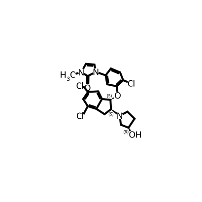 Cn1ccn(-c2ccc(Cl)c(O[C@H]3c4cc(Cl)cc(Cl)c4C[C@@H]3N3CC[C@@H](O)C3)c2)c1=O